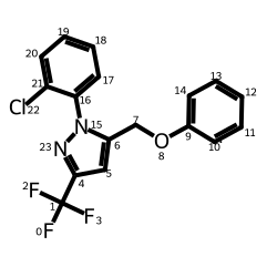 FC(F)(F)c1cc(COc2[c]cccc2)n(-c2ccccc2Cl)n1